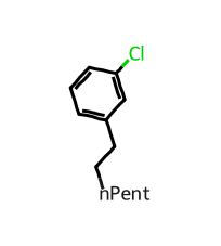 CCCCCCCc1cccc(Cl)c1